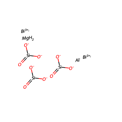 O=[Si]([O-])[O-].O=[Si]([O-])[O-].O=[Si]([O-])[O-].[Al].[Bi+3].[Bi+3].[MgH2]